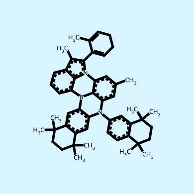 CC1=CCCC=C1c1c(C)c2cccc3c2n1-c1cc(C)cc2c1B3c1cc3c(cc1N2c1ccc2c(c1)C(C)(C)CCC2(C)C)C(C)(C)CCC3(C)C